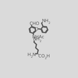 CC(=O)Nc1ccc(C=O)cc1.NCCCC[C@H](N)C(=O)O.NCc1ccccc1Cl